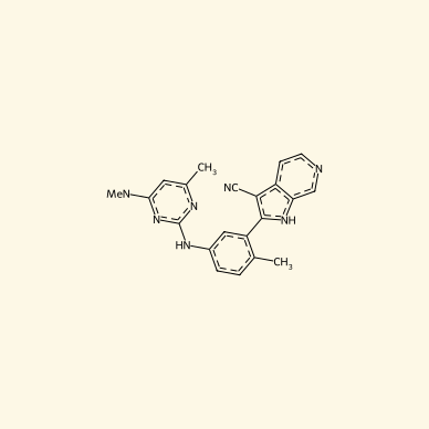 CNc1cc(C)nc(Nc2ccc(C)c(-c3[nH]c4cnccc4c3C#N)c2)n1